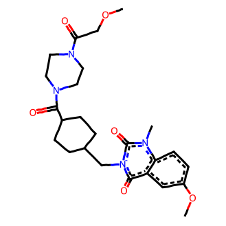 COCC(=O)N1CCN(C(=O)C2CCC(Cn3c(=O)c4cc(OC)ccc4n(C)c3=O)CC2)CC1